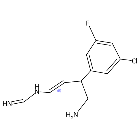 N=CN/C=C/C(CN)c1cc(F)cc(Cl)c1